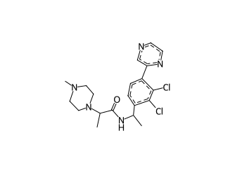 CC(NC(=O)C(C)N1CCN(C)CC1)c1ccc(-c2cnccn2)c(Cl)c1Cl